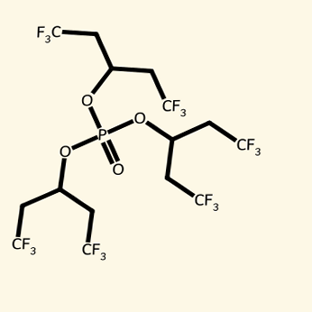 O=P(OC(CC(F)(F)F)CC(F)(F)F)(OC(CC(F)(F)F)CC(F)(F)F)OC(CC(F)(F)F)CC(F)(F)F